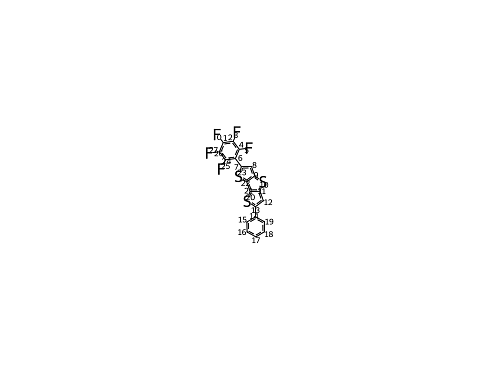 Fc1c(F)c(F)c(-c2cc3sc4cc(-c5ccccc5)sc4c3s2)c(F)c1F